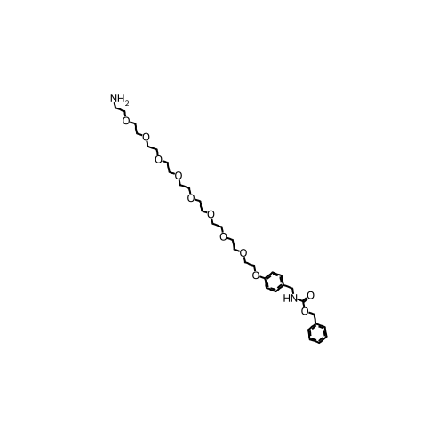 NCCOCCOCCOCCOCCOCCOCCOCCOCCOc1ccc(CNC(=O)OCc2ccccc2)cc1